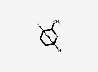 CC1N[C@H]2CC[C@@H]1CC2